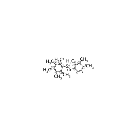 Cc1ccc(SSc2c(C)c(C)c(C)c(C)c2C)c(C)c1C